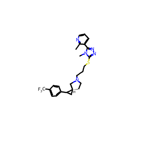 Cc1ncccc1-c1nnc(SCCCN2CC[C@@]3(CC3c3ccc(C(F)(F)F)cc3)C2)n1C